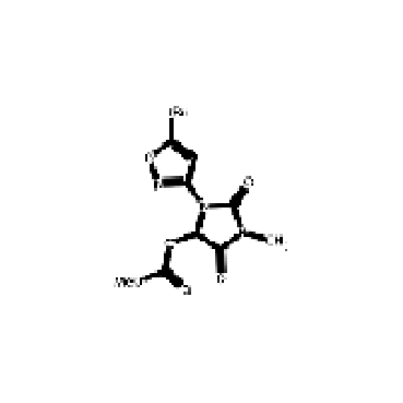 COC(=O)OC1C(=O)N(C)C(=O)N1c1cc(C(C)(C)C)on1